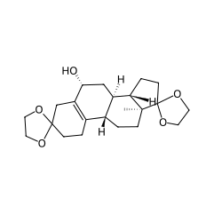 C[C@]12CC[C@@H]3C4=C(CC5(CC4)OCCO5)[C@H](O)C[C@H]3[C@@H]1CCC21OCCO1